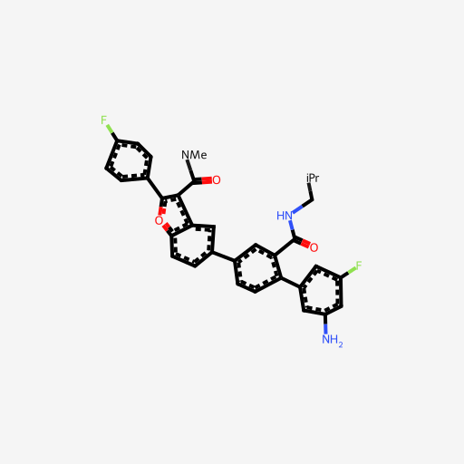 CNC(=O)c1c(-c2ccc(F)cc2)oc2ccc(-c3ccc(-c4cc(N)cc(F)c4)c(C(=O)NCC(C)C)c3)cc12